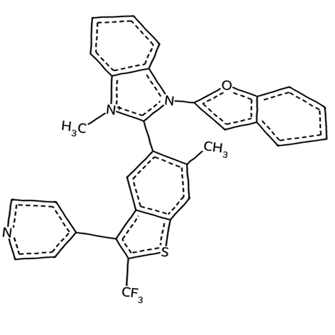 Cc1cc2sc(C(F)(F)F)c(-c3ccncc3)c2cc1-c1n(-c2cc3ccccc3o2)c2ccccc2[n+]1C